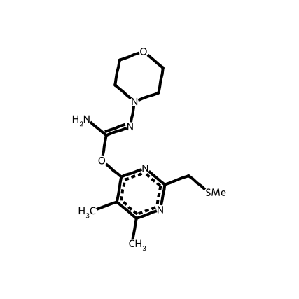 CSCc1nc(C)c(C)c(OC(N)=NN2CCOCC2)n1